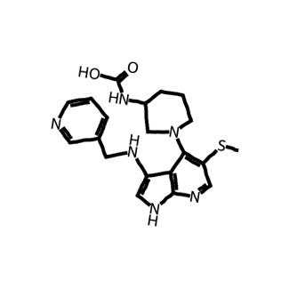 CSc1cnc2[nH]cc(NCc3cccnc3)c2c1N1CCCC(NC(=O)O)C1